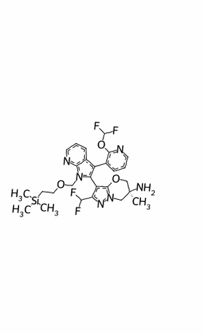 C[C@@]1(N)COc2c(-c3c(-c4cccnc4OC(F)F)c4cccnc4n3COCC[Si](C)(C)C)c(C(F)F)nn2C1